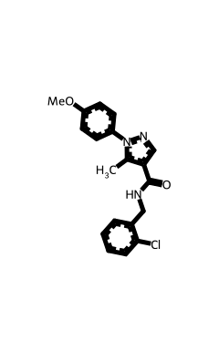 COc1ccc(-n2ncc(C(=O)NCc3ccccc3Cl)c2C)cc1